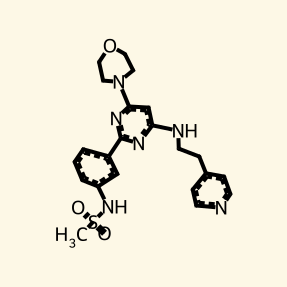 CS(=O)(=O)Nc1cccc(-c2nc(NCCc3ccncc3)cc(N3CCOCC3)n2)c1